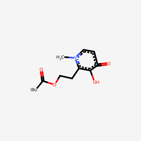 Cn1ccc(=O)c(O)c1CCOC(=O)C(C)(C)C